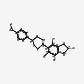 COc1ccc(N2CCN(c3c(C)c(C)c4c(c3C)C[C@H](C)O4)CC2)cc1